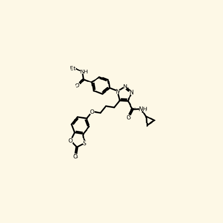 CCNC(=O)c1ccc(-n2nnc(C(=O)NC3CC3)c2CCCOc2ccc3oc(=O)sc3c2)cc1